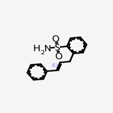 NS(=O)(=O)c1ccccc1C/C=C/c1ccccc1